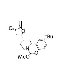 COC(=O)N1CC[C@H](c2cc(=O)[nH]o2)C[C@@H]1c1cccc(C(C)(C)C)c1